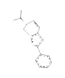 CC(C)[C@H]1C=Cc2cc(-c3ccccc3)nn2C1